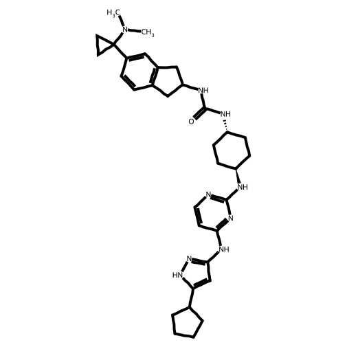 CN(C)C1(c2ccc3c(c2)CC(NC(=O)N[C@H]2CC[C@H](Nc4nccc(Nc5cc(C6CCCC6)[nH]n5)n4)CC2)C3)CC1